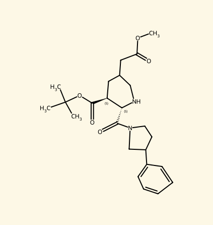 COC(=O)CC1CN[C@H](C(=O)N2CCC(c3ccccc3)C2)[C@@H](C(=O)OC(C)(C)C)C1